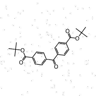 CC(C)(C)OC(=O)c1ccc(C(=O)c2ccc(C(=O)OC(C)(C)C)cc2)cc1